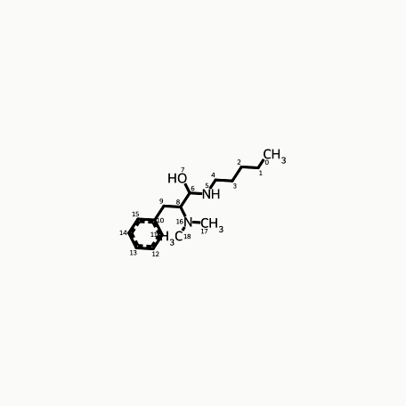 CCCCCNC(O)C(Cc1ccccc1)N(C)C